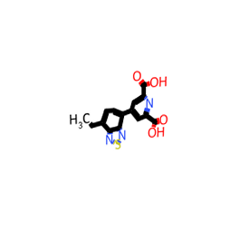 CCc1ccc(-c2cc(C(=O)O)nc(C(=O)O)c2)c2nsnc12